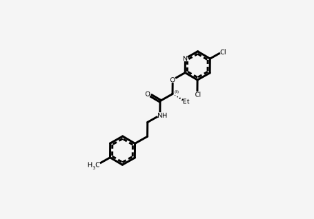 CC[C@@H](Oc1ncc(Cl)cc1Cl)C(=O)NCCc1ccc(C)cc1